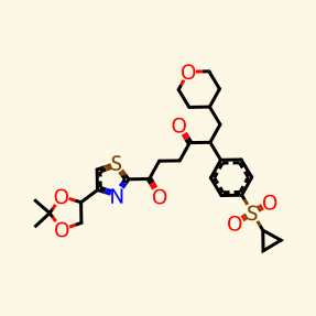 CC1(C)OCC(c2csc(C(=O)CCC(=O)C(CC3CCOCC3)c3ccc(S(=O)(=O)C4CC4)cc3)n2)O1